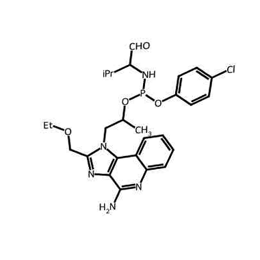 CCOCc1nc2c(N)nc3ccccc3c2n1CC(C)OP(NC(C=O)C(C)C)Oc1ccc(Cl)cc1